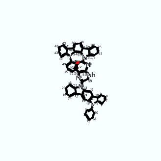 c1ccc(-n2c3ccccc3c3cc4c(cc32)c2ccccc2n4C2=Nc3cnc(-n4c5ccccc5c5ccc6c7ccccc7n(-c7ccccc7)c6c54)nc3NC2)cc1